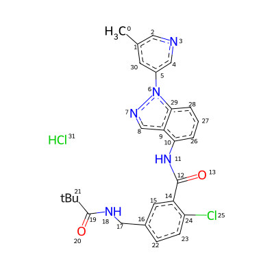 Cc1cncc(-n2ncc3c(NC(=O)c4cc(CNC(=O)C(C)(C)C)ccc4Cl)cccc32)c1.Cl